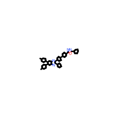 Cc1ccc(-c2cc3nc(-c4ccccc4)c(-c4ccc(-c5ccc(-c6nnc(-c7ccccc7)o6)cc5)cc4)nc3cc2-c2ccc(C)cc2)cc1